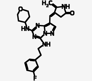 C=C1NC(=O)C/C1=C\c1cnn2c(NCCc3cccc(F)c3)nc(NC3CCOCC3)nc12